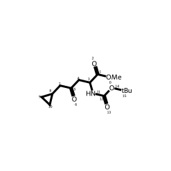 COC(=O)C(CC(=O)CC1CC1)NC(=O)OC(C)(C)C